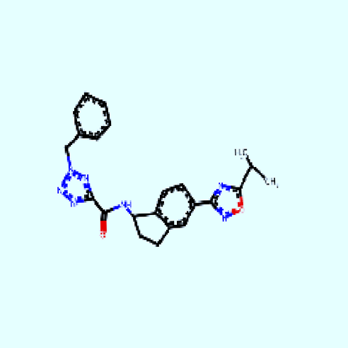 CC(C)c1nc(-c2ccc3c(c2)CCC3NC(=O)c2nnn(Cc3ccccc3)n2)no1